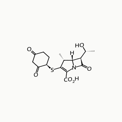 C[C@@H](O)[C@H]1C(=O)N2C(C(=O)O)=C(S[C@@H]3CCC(=O)CC3=O)[C@H](C)[C@H]12